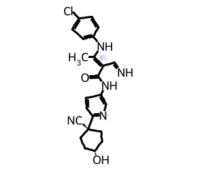 C/C(Nc1ccc(Cl)cc1)=C(/C=N)C(=O)Nc1ccc([C@]2(C#N)CC[C@H](O)CC2)nc1